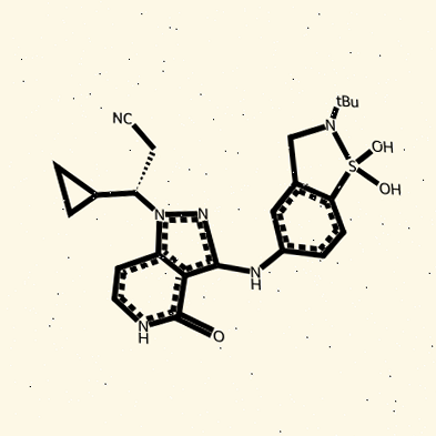 CC(C)(C)N1Cc2cc(Nc3nn([C@@H](CC#N)C4CC4)c4cc[nH]c(=O)c34)ccc2S1(O)O